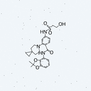 CC1(C)Oc2cccc(NC(=O)c3ccc(NS(=O)(=O)CCO)cc3N3CCC4(CC3)CC4)c2O1